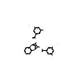 Cc1cc(C)cc(C(=O)OC2C3CC(c4ccccc43)C2OC(=O)c2cc(C)cc(C)c2)c1